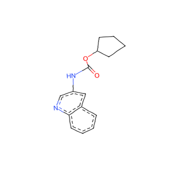 O=C(Nc1cnc2ccccc2c1)OC1CCCC1